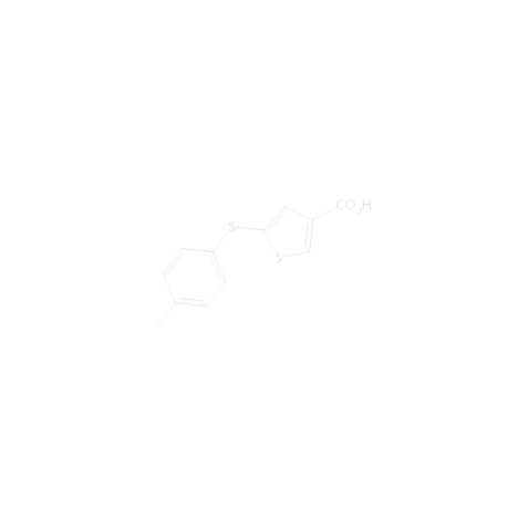 Cc1ccc(Sc2cc(C(=O)O)cs2)cc1